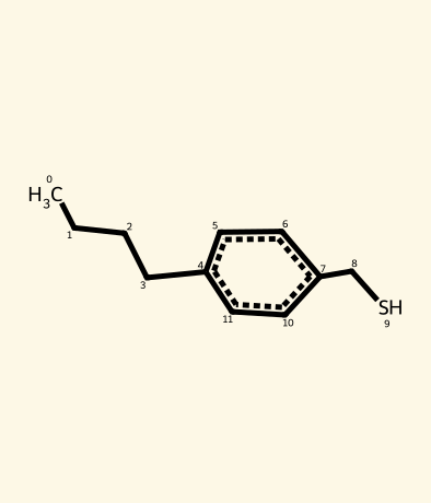 CCCCc1ccc(CS)cc1